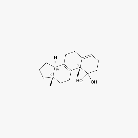 C[C@@]12CCC[C@H]1C1=C(CC2)[C@]2(C)C(=CCCC2(O)O)CC1